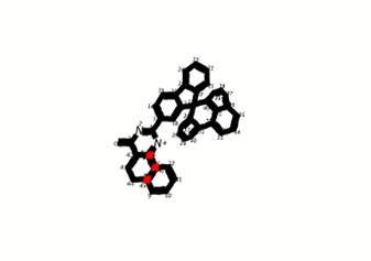 C=C(/N=C(\N=C(/C)c1ccccc1)c1ccc2c(c1)C1(c3ccccc3-2)c2ccccc2-c2cccc3cccc1c23)C1=CCCC=C1